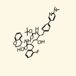 CN(C)c1ccc(-c2ccc(C[C@H](NC(=O)OC(C)(C)C)[C@@H](O)C[C@@H](Cc3ccccc3F)C(=O)N[C@H]3c4ccccc4OC[C@H]3O)cc2)cn1